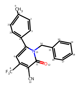 Cc1ccc(-c2cc(C(F)(F)F)c(C#N)c(=O)n2Cc2ccccc2)cc1